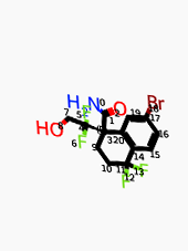 NC(=O)[C@@]1(C(F)(F)CO)CCC(F)(F)c2ccc(Br)cc21